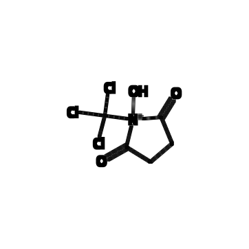 O=C1CCC(=O)[N+]1(O)C(Cl)(Cl)Cl